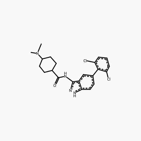 CN(C)C1CCC(C(=O)Nc2n[nH]c3ccc(-c4c(Cl)cccc4Cl)cc23)CC1